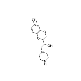 OC(CN1CCNCC1)C1COc2cc(C(F)(F)F)ccc2O1